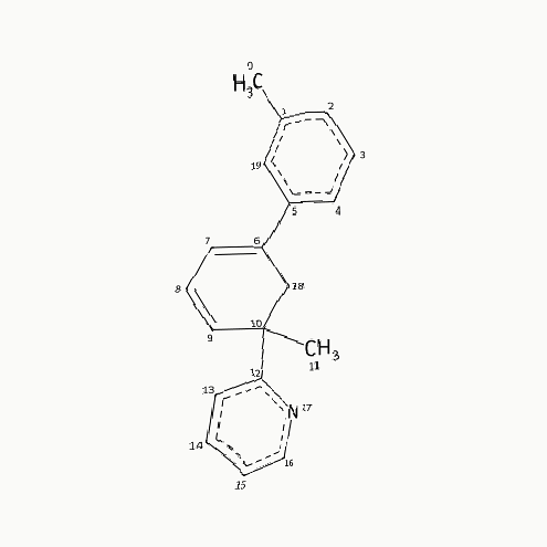 Cc1cccc(C2=CC=CC(C)(c3ccccn3)C2)c1